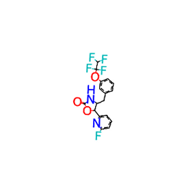 O=C1NC(Cc2cccc(OC(F)(F)C(F)F)c2)C(c2cccc(F)n2)O1